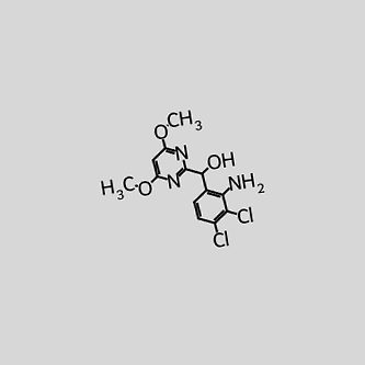 COc1cc(OC)nc(C(O)c2ccc(Cl)c(Cl)c2N)n1